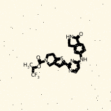 CC(OC(=O)N1CCc2sc(-c3nccc(Nc4ccc5c(c4)CCNC5=O)n3)cc2C1)C(F)(F)F